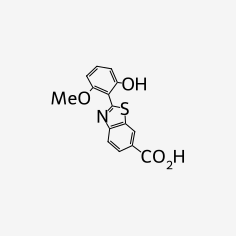 COc1cccc(O)c1-c1nc2ccc(C(=O)O)cc2s1